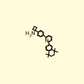 CC1(C)CCC(C)(C)c2cc(-c3cccc(-c4ccc(C5(N)CCC5)cc4)n3)ccc21